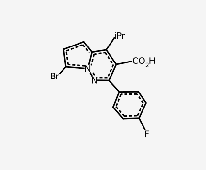 CC(C)c1c(C(=O)O)c(-c2ccc(F)cc2)nn2c(Br)ccc12